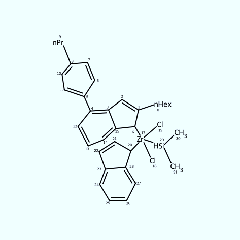 CCCCCCC1=Cc2c(-c3ccc(CCC)cc3)cccc2[CH]1[Zr]([Cl])([Cl])([CH]1C=Cc2ccccc21)[SiH](C)C